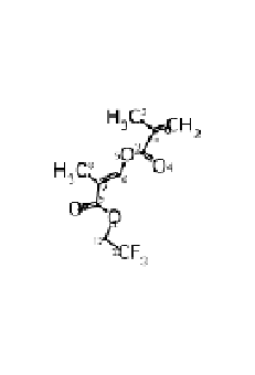 C=C(C)C(=O)OC=C(C)C(=O)OCC(F)(F)F